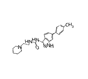 Cc1ccc(-c2ccc3c(NC(=O)NCCN4CCCCC4)n[nH]c3c2)cc1